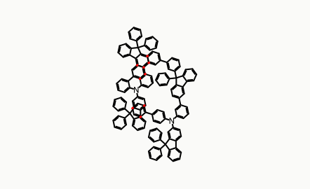 c1ccc(-c2ccc(N(c3cccc(-c4ccc5c(c4)-c4ccccc4C5(c4ccccc4)c4cccc(-c5cccc(-c6ccc(-c7ccccc7N(c7cccc(-c8ccc9c(c8)-c8ccccc8C9(c8ccccc8)c8ccccc8)c7)c7ccc8c(c7)C(c7ccccc7)(c7ccccc7)c7ccccc7-8)cc6)c5)c4)c3)c3ccc4c(c3)C(c3ccccc3)(c3ccccc3)c3ccccc3-4)cc2)cc1